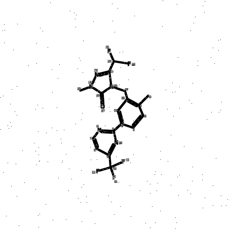 Cc1ccc(-c2nccc(C(F)(F)F)n2)cc1Cn1c(C(F)F)nn(C)c1=O